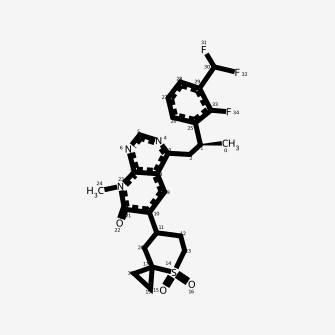 C[C@@H](Cc1ncnc2c1cc(C1CCS(=O)(=O)C3(CC3)C1)c(=O)n2C)c1cccc(C(F)F)c1F